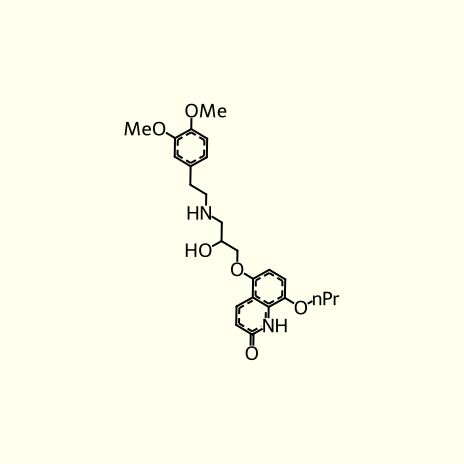 CCCOc1ccc(OCC(O)CNCCc2ccc(OC)c(OC)c2)c2ccc(=O)[nH]c12